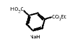 CCOC(=O)c1cccc(C(=O)O)c1.[NaH]